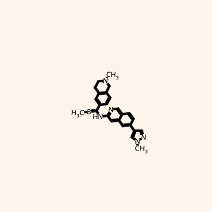 C/B=C(\Nc1cc2cc(-c3cnn(C)c3)ccc2cn1)c1ccc2c(c1)CCN(C)C2